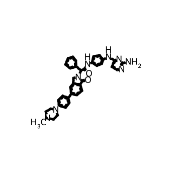 CN1CCN(c2ccc(-c3ccc4c(c3)CN(C(C(=O)Nc3ccc(Nc5ccnc(N)n5)cc3)c3ccccc3)C4=O)cc2)CC1